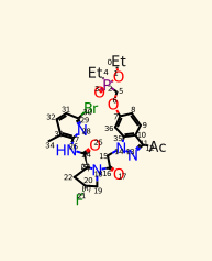 CCOP(=O)(CC)COc1ccc2c(C(C)=O)nn(CC(=O)N3C[C@H](F)C[C@H]3C(=O)Nc3nc(Br)ccc3C)c2c1